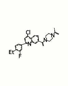 C=C(C)N1CCN(C(=C)c2ccc3c(Cl)cc(-c4ccc(CC)c(F)c4)nc3c2)CC1